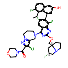 CCc1c(F)ccc2cc(O)cc(-c3c(F)cc4c(N5CCCn6nc(C(=O)N7CCOCC7)c(Cl)c6C5)nc(OC[C@@]56CCCN5C[C@H](F)C6)nc4c3F)c12